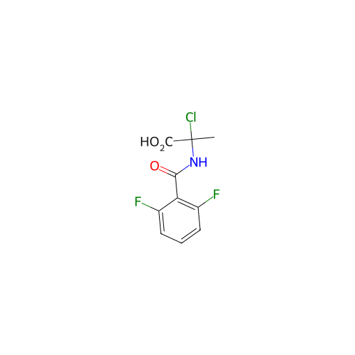 CC(Cl)(NC(=O)c1c(F)cccc1F)C(=O)O